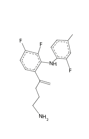 C=C(CCCN)c1ccc(F)c(F)c1Nc1ccc(C)cc1F